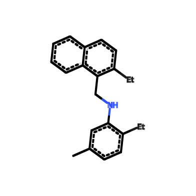 CCc1ccc(C)cc1NCc1c(CC)ccc2ccccc12